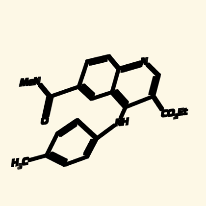 CCOC(=O)c1cnc2ccc(C(=O)NC)cc2c1Nc1ccc(C)cc1